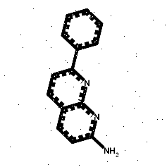 Nc1ccc2ccc(-c3ccccc3)nc2n1